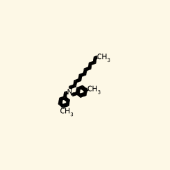 CCCCCCCCCCCCN(Cc1ccc(C)cc1)Cc1ccc(C)cc1